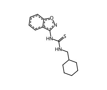 S=C(NCC1CCCCC1)Nc1noc2ccccc12